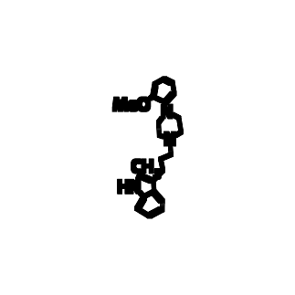 COc1ccccc1N1CCN(CCCc2c(C)[nH]c3ccccc23)CC1